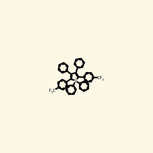 FC(F)(F)c1ccc(C2=C(c3ccccc3)C(c3ccccc3)=C(c3ccc(C(F)(F)F)cc3)[Si]2(c2ccccc2)c2ccccc2)cc1